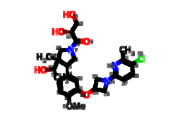 COc1ccc([C@@H]2CN(C(=O)[C@@H](O)CO)C[C@@]2(C)[C@@H](C)O)cc1OC1CN(c2ccc(Cl)c(C)n2)C1